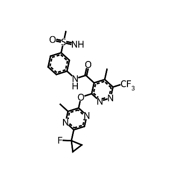 Cc1nc(C2(F)CC2)cnc1Oc1nnc(C(F)(F)F)c(C)c1C(=O)Nc1cccc(S(C)(=N)=O)c1